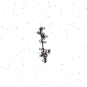 CO[C@@H]1C[C@H](n2cc(/C=C/C(=O)NCCCCCCNC(=O)c3ccc4c(c3)C3(OC4=O)c4ccc(OC(=O)C(C)(C)C)cc4Oc4cc(OC(=O)C(C)(C)C)ccc43)c(=O)[nH]c2=O)OC1COP(C)(=O)O